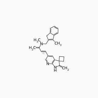 C=C(/C=C/c1cnc2c(c1)C1(CCC1)C(=C)N2)N(C)CC1=C(C)c2ccccc2C1